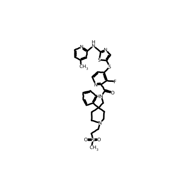 Cc1ccnc(Nc2ncc(Sc3ccnc(C(=O)NCC4(c5ccccc5)CCN(CCS(C)(=O)=O)CC4)c3F)s2)c1